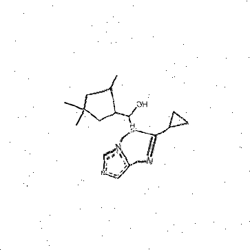 CC1CC(C)(C)CC1C(O)[SH]1C(C2CC2)=Nc2cncn21